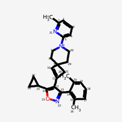 Cc1cccc(N2CCC3(C=C(c4c(-c5c(C)cccc5C)noc4C4CC4)C3)CC2)n1